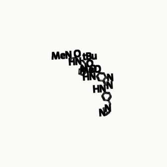 CNC(C)C(=O)NC(C(=O)N1CCCC1C(=O)Nc1cc2c(Nc3ccc(Cn4ccnc4)cc3)ncnc2cc1OC)C(C)(C)C